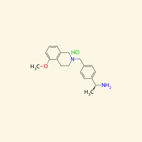 COc1cccc2c1CCN(Cc1ccc([C@H](C)N)cc1)C2.Cl